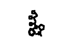 CN(C)C1CCCC1N(C(=O)CC(Cl)CCl)c1ccccc1